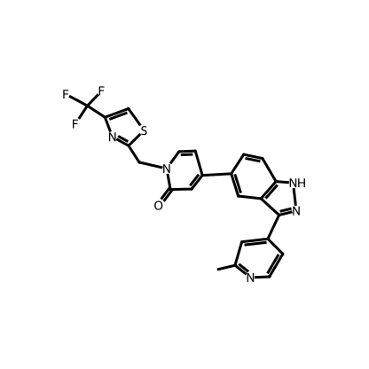 Cc1cc(-c2n[nH]c3ccc(-c4ccn(Cc5nc(C(F)(F)F)cs5)c(=O)c4)cc23)ccn1